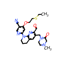 CCSCCOc1cc(N2CCCc3cc(CN4CCN(C)CC4=O)c(C=O)nc32)ncc1C#N